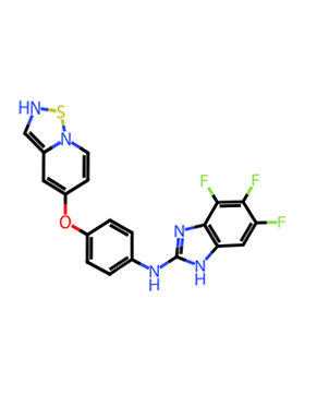 Fc1cc2[nH]c(Nc3ccc(OC4=CC5=CNSN5C=C4)cc3)nc2c(F)c1F